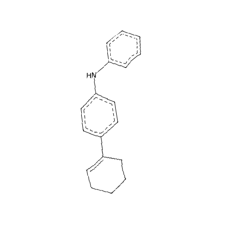 C1=C(c2ccc(Nc3ccccc3)cc2)CCCC1